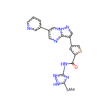 CSc1nc(NC(=O)c2cc(-c3cnn4cc(-c5cccnc5)cnc34)cs2)n[nH]1